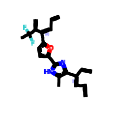 C=C/C=C(\C(=C)C(C)(F)F)c1ccc(-c2nc(/C(C=C)=C/C=C)c(C)[nH]2)o1